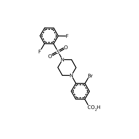 O=C(O)c1ccc(N2CCN(S(=O)(=O)c3c(F)cccc3F)CC2)c(Br)c1